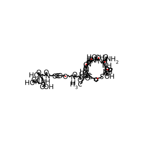 CCCC[C@H](NC(=O)CCC(=O)NCCCOCCOCCOCCCNC(=O)CCC(C(=O)O)N1CCN(CC(=O)O)CCN(CC(=O)O)CC1)C(=O)N[C@H]1CSCc2cccc(c2)CSC[C@@H](C(=O)O)NC(=O)[C@H](Cc2ccccc2)NC(=O)[C@H](CCC(N)=O)NC(=O)[C@H]([C@@H](C)O)NC(=O)[C@@H]2CCCN2C(=O)[C@@H]2CCCN2C1=O